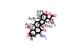 CC(=O)O[C@H]1[C@@H]2[C@H]([C@H](C)[C@H]3O[C@]34OC(=O)[C@@](C)(O)[C@]24C)[C@]2(C)[C@@H]1C1C(=O)C(N)=C3C[C@@H]4O[C@@H]4[C@H](O)[C@]3(C)C1[C@H](OC(C)=O)[C@@H]2OC(C)=O